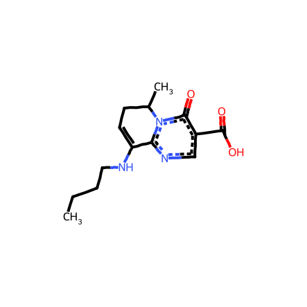 CCCCNC1=CCC(C)n2c1ncc(C(=O)O)c2=O